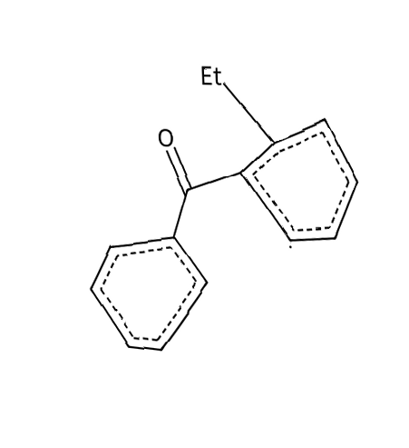 CCc1ccc[c]c1C(=O)c1ccccc1